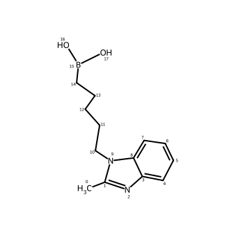 Cc1nc2ccccc2n1CCCCCB(O)O